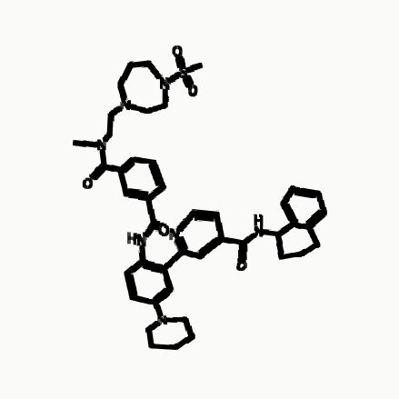 CN(CCN1CCCN(S(C)(=O)=O)CC1)C(=O)c1cccc(C(=O)Nc2ccc(N3CCCCC3)cc2-c2cc(C(=O)NC3CCCc4ccccc43)ccn2)c1